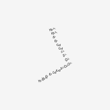 [Er].[Er].[Er].[Er].[Gd].[Gd].[Gd].[Gd].[O-2].[O-2].[O-2].[S-2].[S-2].[S-2].[Yb+3].[Yb+3].[Yb+3].[Yb+3]